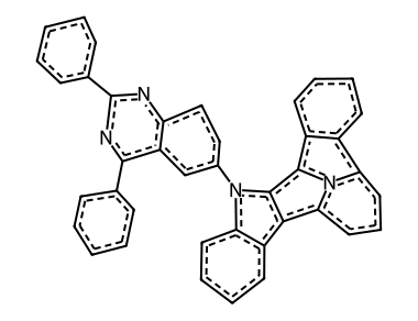 c1ccc(-c2nc(-c3ccccc3)c3cc(-n4c5ccccc5c5c4c4c6ccccc6c6cccc5n64)ccc3n2)cc1